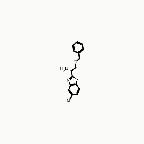 N[C@H](COCc1ccccc1)c1nc2cc(Cl)ccc2[nH]1